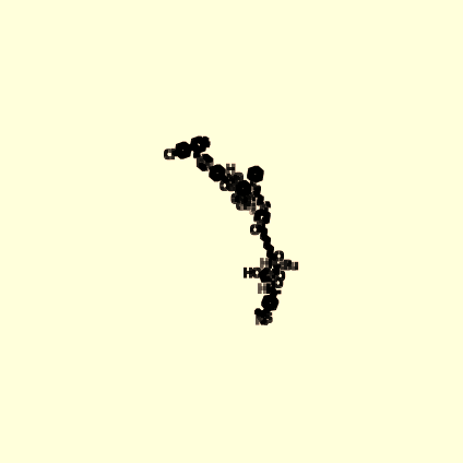 Cc1ncsc1-c1ccc([C@H](C)NC(=O)[C@@H]2C[C@@H](O)CN2C(=O)[C@@H](NC(=O)CCCCCCC(=O)N2CCC(N(C)CC[C@H](CSc3ccccc3)Nc3ccc(S(=O)(=O)NC(=O)c4ccc(N5CCN(CC6=C(c7ccc(Cl)cc7)CCC(C)(C)C6)CC5)cc4)cc3S(=O)(=O)C(F)(F)F)CC2)C(C)(C)C)cc1